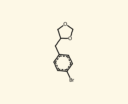 Brc1ccc(CC2COCO2)cc1